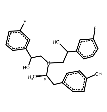 C[C@H](Cc1ccc(O)cc1)N(CC(O)c1cccc(F)c1)CC(O)c1cccc(F)c1